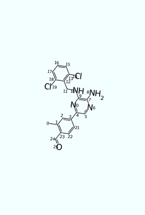 Cc1cc(-c2cnc(N)c(NCc3c(Cl)cccc3Cl)n2)ccc1C=O